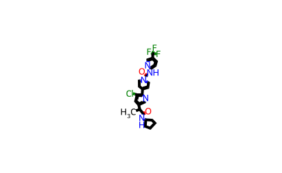 CC(C(=O)NC1CCCC1)c1cnc(C2=CCN(C(=O)Nc3ccc(C(F)(F)F)cn3)CC2)c(Cl)c1